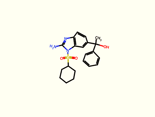 CC(O)(c1ccccc1)c1ccc2nc(N)n(S(=O)(=O)C3CCCCC3)c2c1